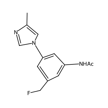 CC(=O)Nc1cc(CF)cc(-n2cnc(C)c2)c1